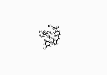 CC(C)(C)OC(=O)N1CCN(Cc2cnc(-c3cc(F)cc(Cl)c3)n2COCC[Si](C)(C)C)CC1